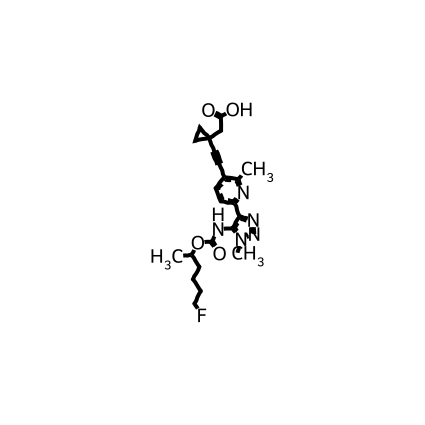 Cc1nc(-c2nnn(C)c2NC(=O)OC(C)CCCCF)ccc1C#CC1(CC(=O)O)CC1